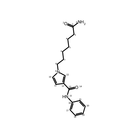 NC(=O)CCCCCCn1ccc(C(=O)Nc2ccccc2)c1